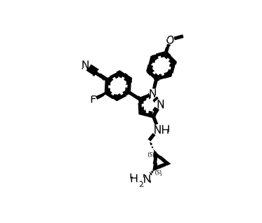 COc1ccc(-n2nc(NC[C@@H]3C[C@@H]3N)cc2-c2ccc(C#N)c(F)c2)cc1